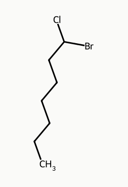 CCCCCCC(Cl)Br